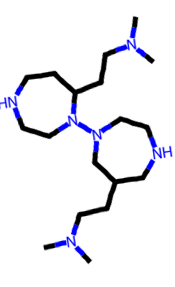 CN(C)CCC1CNCCN(N2CCNCCC2CCN(C)C)C1